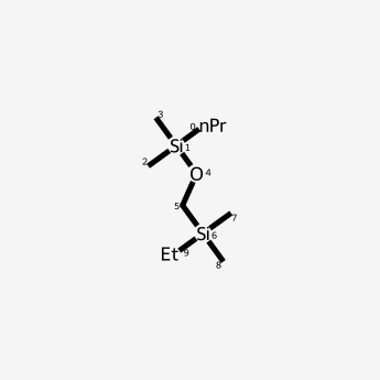 CCC[Si](C)(C)OC[Si](C)(C)CC